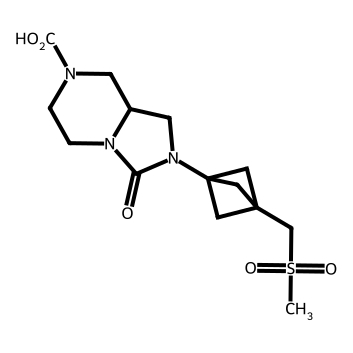 CS(=O)(=O)CC12CC(N3CC4CN(C(=O)O)CCN4C3=O)(C1)C2